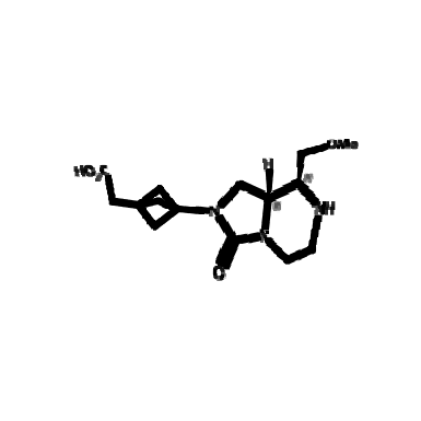 COC[C@H]1NCCN2C(=O)N(C34CC(CC(=O)O)(C3)C4)C[C@H]12